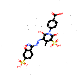 Cc1c(N=Nc2noc3cc(S(=O)(=O)O)ccc23)c(O)n(-c2ccc(C(=O)O)cc2)c(=O)c1S(=O)(=O)O